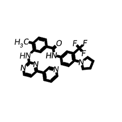 Cc1ccc(C(=O)Nc2ccc(N3CCCC3)c(C(F)(F)F)c2)cc1Nc1nccc(-c2cccnc2)n1